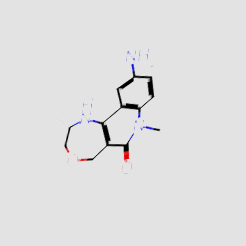 C[C@H]1COCc2c(c3cc(N)ccc3n(C)c2=O)N1